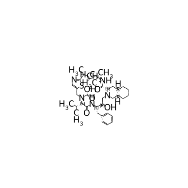 CC(C)c1ncc(CN(C(=O)O)[C@H](C(=O)N[C@@H](Cc2ccccc2)[C@H](O)CN2C[C@H]3CCCC[C@H]3C[C@H]2C(=O)NC(C)(C)C)C(C)C)s1